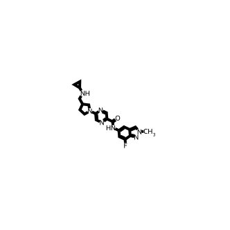 Cn1cc2cc(NC(=O)c3cnc(N4CCC(CNC5CC5)C4)cn3)cc(F)c2n1